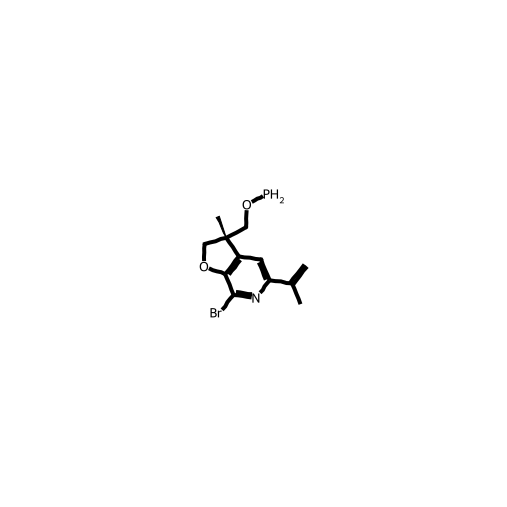 C=C(C)c1cc2c(c(Br)n1)OC[C@]2(C)COP